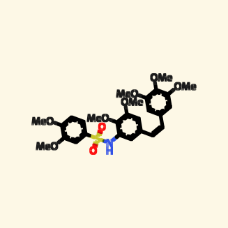 COc1ccc(S(=O)(=O)Nc2cc(/C=C\c3cc(OC)c(OC)c(OC)c3)cc(OC)c2OC)cc1OC